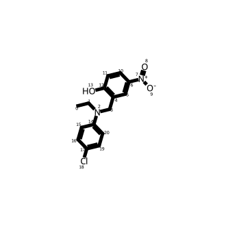 CCN(Cc1cc([N+](=O)[O-])ccc1O)c1ccc(Cl)cc1